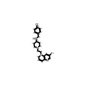 Fc1cnc2c(c1)N(CCN1CCC(NCc3ccc(Cl)cc3)CC1)CC=C2